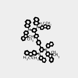 CC1(C)c2ccccc2-c2ccc(N(c3cc(-c4ccc(-c5ccc(-c6cc(N(c7ccc8c(c7)C(C)(C)c7ccccc7-8)c7ccc8ccccc8c7)cc(N(c7ccc8c(c7)C(C)(C)c7ccccc7-8)c7ccc8ccccc8c7)c6)cc5)cc4)cc(N(c4ccc5c(c4)C(C)(C)c4ccccc4-5)c4ccc5ccccc5c4)c3)c3ccc4ccccc4c3)cc21